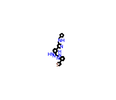 c1cc(-c2ccsc2)c2nc(-c3n[nH]c4ccc(-c5cncc(CNCC6CCCC6)c5)cc34)[nH]c2c1